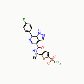 CC[C@H](NC(=O)c1cnc(-c2ccc(F)cc2)c2[nH]ncc12)c1ccc(S(C)(=O)=O)s1